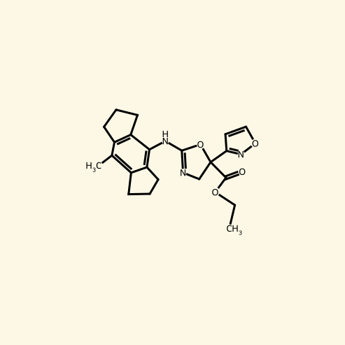 CCOC(=O)C1(c2ccon2)CN=C(Nc2c3c(c(C)c4c2CCC4)CCC3)O1